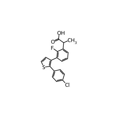 CC(C(=O)O)c1cccc(-c2ccsc2-c2ccc(Cl)cc2)c1F